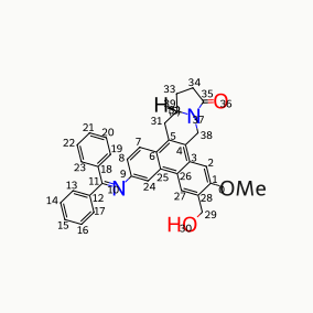 COc1cc2c3c(c4ccc(N=C(c5ccccc5)c5ccccc5)cc4c2cc1CO)C[C@@H]1CCC(=O)N1C3